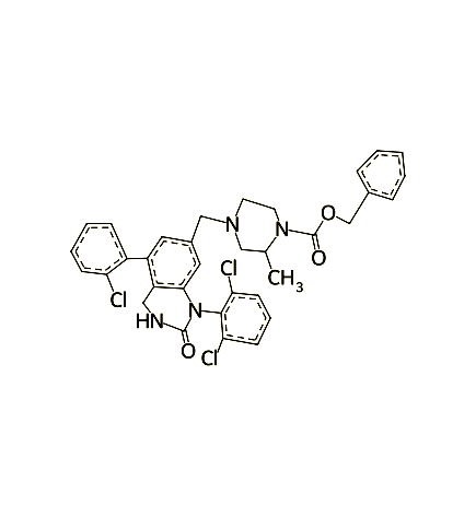 CC1CN(Cc2cc(-c3ccccc3Cl)c3c(c2)N(c2c(Cl)cccc2Cl)C(=O)NC3)CCN1C(=O)OCc1ccccc1